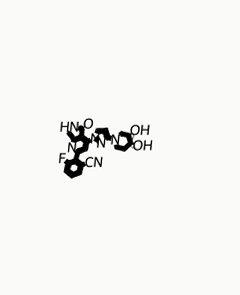 N#Cc1cccc(F)c1-c1cc(-n2ccc(N3CC[C@@H](O)[C@@H](O)C3)n2)c2c(n1)CNC2=O